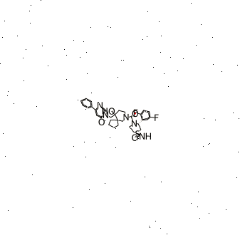 N=S1(=O)CCN(C(=O)N2CC[C@@](O)(Cn3cnc(-c4ccccc4)cc3=O)C3(CCCC3)C2)[C@H](c2cc(F)ccc2F)C1